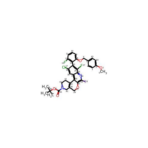 COc1ccc(COc2cccc(F)c2-c2c(Cl)cc3c4c(c(I)nc3c2F)OCC2=C4CCN(C(=O)OC(C)(C)C)C2)cc1